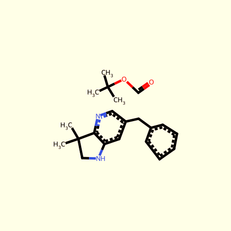 CC(C)(C)OC=O.CC1(C)CNc2cc(Cc3ccccc3)cnc21